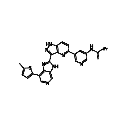 C=C(Nc1cncc(-c2ccc3[nH]nc(-c4nc5c(-c6ccc(C)s6)cncc5[nH]4)c3n2)c1)C(C)C